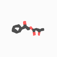 CC(=O)CC(=O)OCC(=O)c1ccccc1